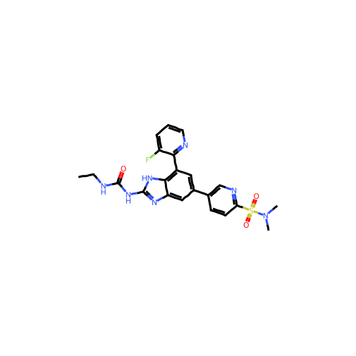 CCNC(=O)Nc1nc2cc(-c3ccc(S(=O)(=O)N(C)C)nc3)cc(-c3ncccc3F)c2[nH]1